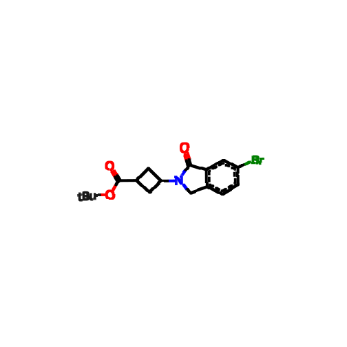 CC(C)(C)OC(=O)C1CC(N2Cc3ccc(Br)cc3C2=O)C1